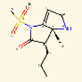 CCC[C@H]1C(=O)N(S(C)(=O)=O)C2=CCN[C@@H]21